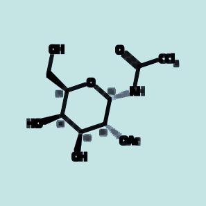 CC(=O)O[C@@H]1[C@@H](O)[C@@H](O)[C@@H](CO)O[C@@H]1NC(=O)C(Cl)(Cl)Cl